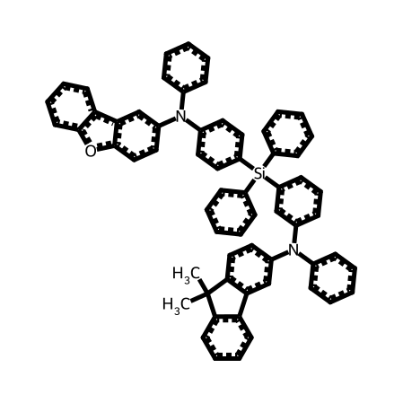 CC1(C)c2ccccc2-c2cc(N(c3ccccc3)c3cccc([Si](c4ccccc4)(c4ccccc4)c4ccc(N(c5ccccc5)c5ccc6oc7ccccc7c6c5)cc4)c3)ccc21